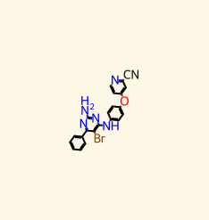 N#Cc1cc(Oc2ccc(Nc3nc(N)nc(-c4ccccc4)c3Br)cc2)ccn1